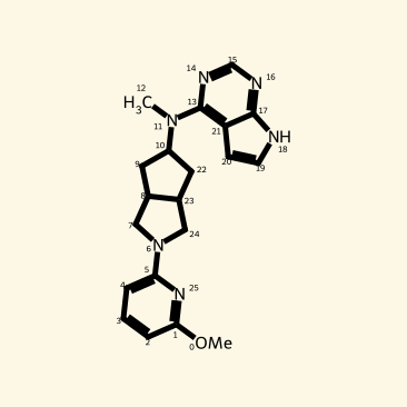 COc1cccc(N2CC3CC(N(C)c4ncnc5[nH]ccc45)CC3C2)n1